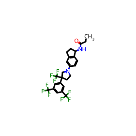 CCC(=O)NC1CCc2cc(N3CCC(c4cc(C(F)(F)F)cc(C(F)(F)F)c4)(C(F)(F)F)C3)ccc21